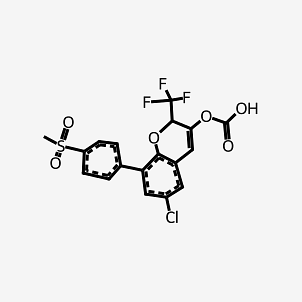 CS(=O)(=O)c1ccc(-c2cc(Cl)cc3c2OC(C(F)(F)F)C(OC(=O)O)=C3)cc1